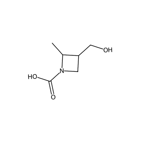 CC1C(CO)CN1C(=O)O